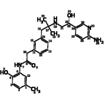 Cc1ccc(O)c(NC(=O)Cc2cccc(CC(C)(C)NC[C@H](O)c3ccc(N)nc3)c2)c1